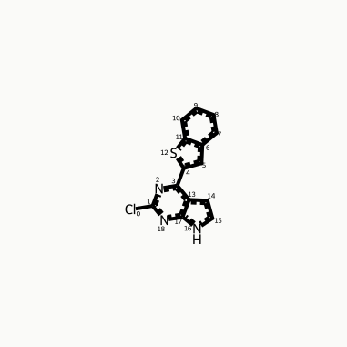 Clc1nc(-c2cc3ccccc3s2)c2cc[nH]c2n1